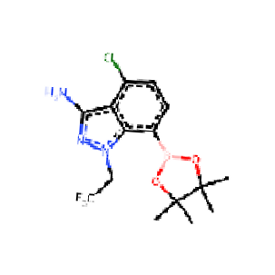 CC1(C)OB(c2ccc(Cl)c3c(N)nn(CC(F)(F)F)c23)OC1(C)C